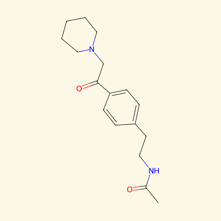 CC(=O)NCCc1ccc(C(=O)CN2CCCCC2)cc1